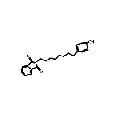 O=C1c2ccccc2C(=O)N1CCCCCCCCc1ccc(O)cc1